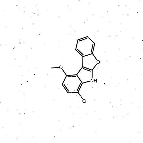 COc1ccc(Cl)c2[nH]c3oc4ccccc4c3c12